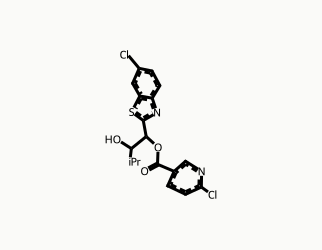 CC(C)C(O)C(OC(=O)c1ccc(Cl)nc1)c1nc2ccc(Cl)cc2s1